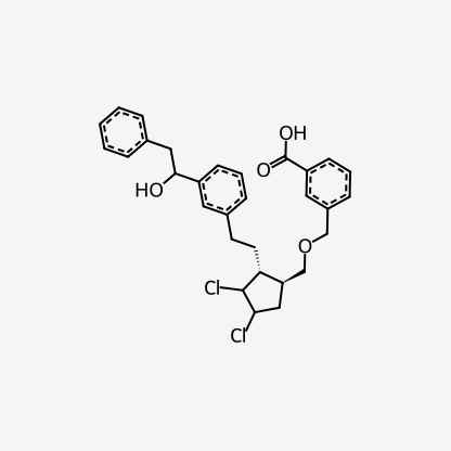 O=C(O)c1cccc(COC[C@H]2CC(Cl)C(Cl)[C@@H]2CCc2cccc(C(O)Cc3ccccc3)c2)c1